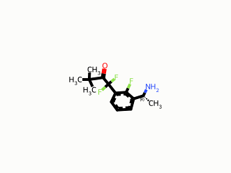 C[C@@H](N)c1cccc(C(F)(F)C(=O)C(C)(C)C)c1F